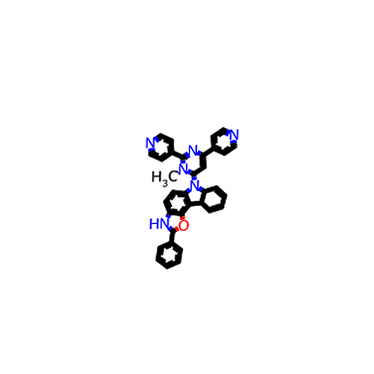 CN1C(c2ccncc2)=NC(c2ccncc2)=CC1N1c2ccc3c(c2C2C=CC=CC21)OC(c1ccccc1)N3